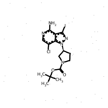 CC(C)(C)OC(=O)N1CC[C@H](n2nc(I)c3c(N)ncc(Cl)c32)C1